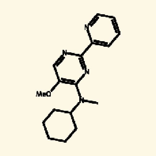 COc1cnc(-c2ccccn2)nc1N(C)C1CCCCC1